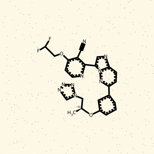 C[C@@H](Cn1cnnn1)Oc1cccc(-c2ccc3ncc(-c4nccc(OCC(F)F)c4C#N)n3n2)c1